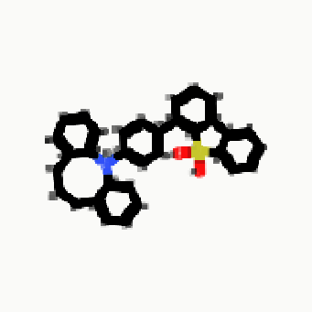 O=S1(=O)c2ccccc2-c2cccc(-c3ccc(N4c5ccccc5CCCc5ccccc54)cc3)c21